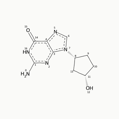 Nc1nc2c(ncn2[C@@H]2CC[C@H](O)C2)c(=O)[nH]1